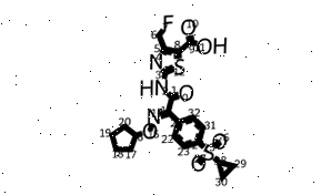 O=C(Nc1nc(CF)c(C(=O)O)s1)/C(=N/OC1CCCC1)c1ccc(S(=O)(=O)C2CC2)cc1